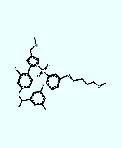 CNCc1cc(-c2ccc(OC(C)c3cc(F)cc(F)c3)cc2F)n(S(=O)(=O)c2cccc(OCCCCOC)c2)c1